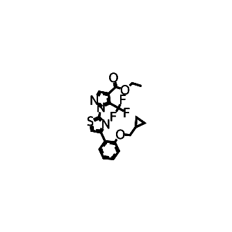 CCOC(=O)c1cnn(-c2nc(-c3ccccc3OCC3CC3)cs2)c1C(F)(F)F